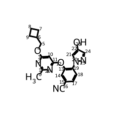 Cc1nc(OCC2CCC2)cc(Oc2cc(C#N)ccc2-n2cc(O)cn2)n1